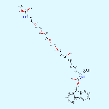 CC(C)(C)OC(=O)NCCOCCOCCOCCOCCC(=O)NCCCC[C@@H](NC(=O)OCC1c2ccccc2-c2ccccc21)C(=O)O